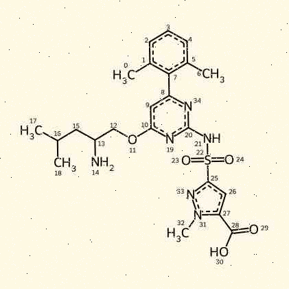 Cc1cccc(C)c1-c1cc(OCC(N)CC(C)C)nc(NS(=O)(=O)c2cc(C(=O)O)n(C)n2)n1